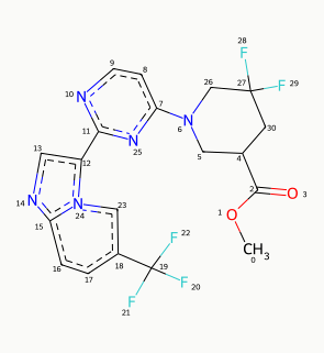 COC(=O)C1CN(c2ccnc(-c3cnc4ccc(C(F)(F)F)cn34)n2)CC(F)(F)C1